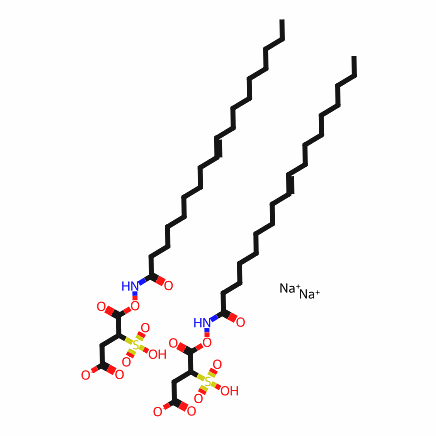 CCCCCCCCC=CCCCCCCCC(=O)NOC(=O)C(CC(=O)[O-])S(=O)(=O)O.CCCCCCCCC=CCCCCCCCC(=O)NOC(=O)C(CC(=O)[O-])S(=O)(=O)O.[Na+].[Na+]